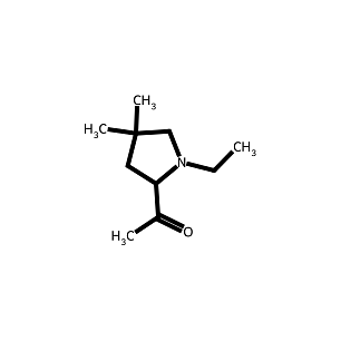 CCN1CC(C)(C)CC1C(C)=O